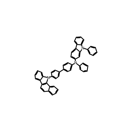 c1ccc(N(c2ccc(-c3ccc(-n4c5ccccc5c5ccc6ccccc6c54)cc3)cc2)c2ccc3c4ccccc4n(-c4ccccc4)c3c2)cc1